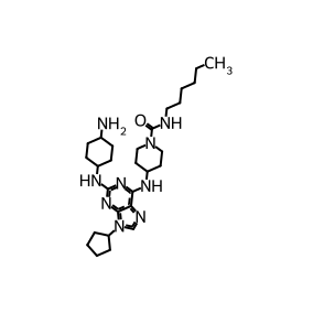 CCCCCCNC(=O)N1CCC(Nc2nc(NC3CCC(N)CC3)nc3c2ncn3C2CCCC2)CC1